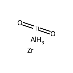 [AlH3].[O]=[Ti]=[O].[Zr]